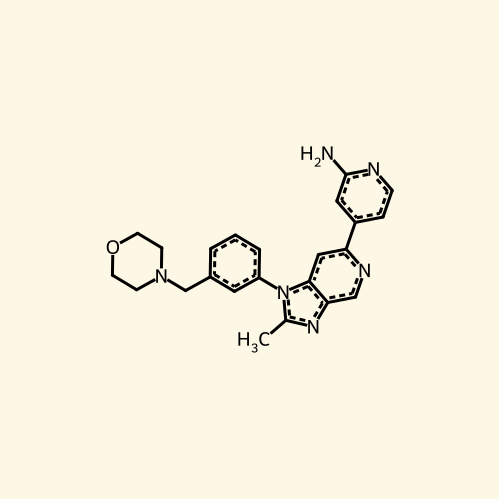 Cc1nc2cnc(-c3ccnc(N)c3)cc2n1-c1cccc(CN2CCOCC2)c1